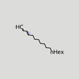 [CH]=C/C=C/CCCCCCCCCCCCC